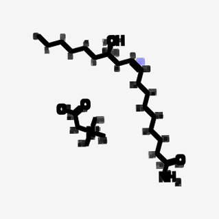 CCCCCC[C@@H](O)C/C=C\CCCCCCCC(N)=O.C[N+](C)(C)CC(=O)[O-]